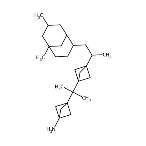 CC1CC2CC(C)(CCC2CC(C)C23CC(C(C)(C)C45CC(N)(C4)C5)(C2)C3)C1